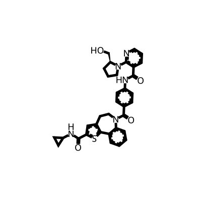 O=C(NC1CC1)c1cc2c(s1)-c1ccccc1N(C(=O)c1ccc(NC(=O)c3cccnc3N3CCC[C@H]3CO)cc1)CC2